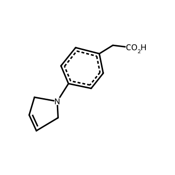 O=C(O)Cc1ccc(N2CC=CC2)cc1